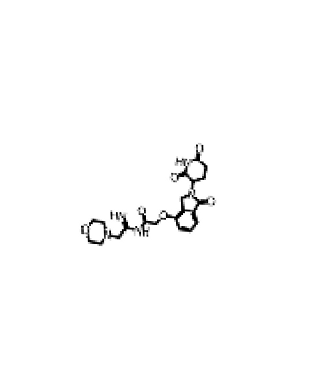 N=C(CN1CCOCC1)NC(=O)COc1cccc2c1CN(C1CCC(=O)NC1=O)C2=O